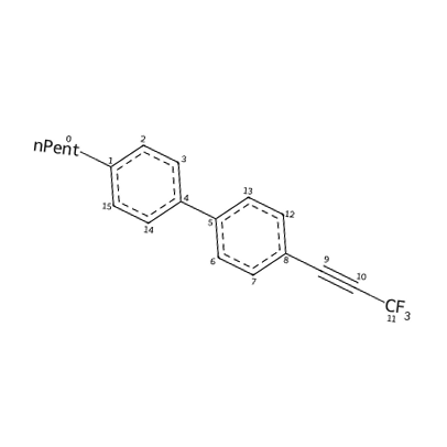 CCCCCc1ccc(-c2ccc(C#CC(F)(F)F)cc2)cc1